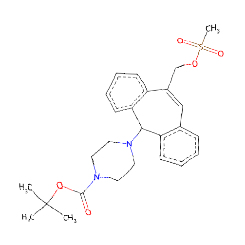 CC(C)(C)OC(=O)N1CCN(C2c3ccccc3C=C(COS(C)(=O)=O)c3ccccc32)CC1